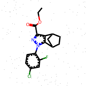 CCOC(=O)c1nn(-c2ccc(Cl)cc2F)c2c1C1CCC2C1